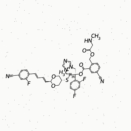 CNCC(=O)OCc1ccc(C#N)cc1C(=O)O[C@@](Cn1cncn1)(c1ccc(F)cc1F)[C@@H](C)S[C@H]1CO[C@H](C=CC=Cc2ccc(C#N)cc2F)OC1